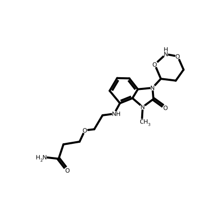 Cn1c(=O)n(C2CCONO2)c2cccc(NCCOCCC(N)=O)c21